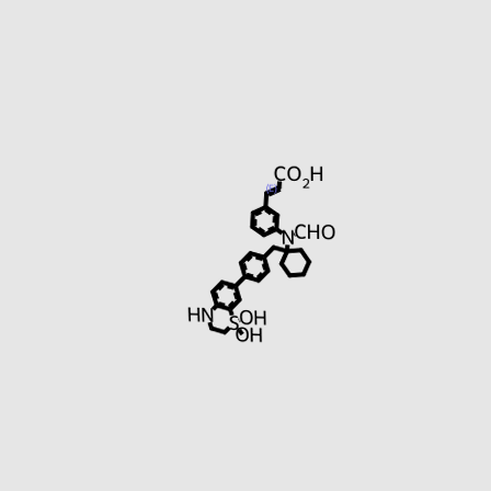 O=CN(c1cccc(/C=C/C(=O)O)c1)C1(Cc2ccc(-c3ccc4c(c3)S(O)(O)CCN4)cc2)CCCCC1